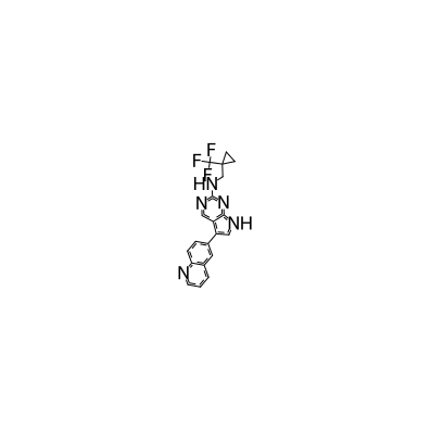 FC(F)(F)C1(CNc2ncc3c(-c4ccc5ncccc5c4)c[nH]c3n2)CC1